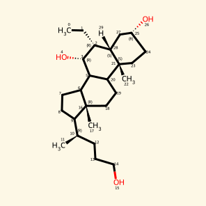 CC[C@H]1[C@@H](O)C2C3CCC([C@H](C)CCCO)[C@@]3(C)CCC2[C@@]2(C)CC[C@@H](O)C[C@@H]12